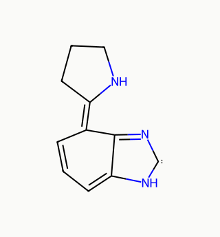 [C]1N=c2c(cccc2=C2CCCN2)N1